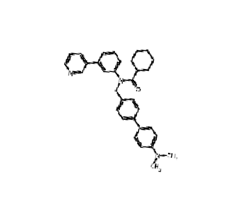 CN(C)c1ccc(-c2ccc(CN(C(=O)C3CCCCC3)c3cccc(-c4cccnc4)c3)cc2)cc1